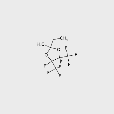 CCC1(C)OC(F)(C(F)(F)F)C(F)(C(F)(F)F)O1